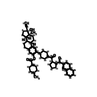 C#C[C@]1(O)CC[C@H]2[C@@H]3CCc4cc(OC(=O)N5CCN(C)CC5)c(N5CCN(C(=O)[C@@H]6CCCN6C(=O)c6ccc7ccccc7n6)CC5)cc4[C@H]3CC[C@@]21C